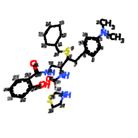 CN(C)c1ccc(CC(SCC2CCCCC2)C(CNC(=O)c2ccccc2O)NC(=O)[C@@H]2NCCS2)cc1